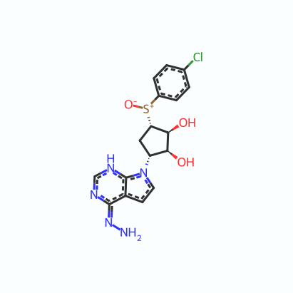 N/N=c1/nc[nH]c2c1ccn2[C@@H]1C[C@H]([S+]([O-])c2ccc(Cl)cc2)[C@@H](O)[C@H]1O